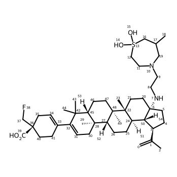 C=C(C)[C@@H]1CC[C@]2(NCCN3CCS(O)(O)CC(C)C3)CC[C@]3(C)[C@H](CC[C@@H]4[C@@]5(C)CC=C(C6=CC[C@](CF)(C(=O)O)CC6)C(C)(C)[C@@H]5CC[C@]43C)[C@@H]12